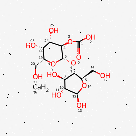 O=C(O)O[C@H]1[C@H](O[C@H]2[C@H](O)[C@@H](O)[C@H](O)O[C@@H]2CO)O[C@H](CO)[C@H](O)[C@@H]1O.[CaH2]